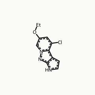 CCOc1cc(Cl)c2c3cc[nH]c3nn2c1